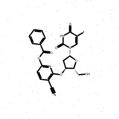 N#Cc1ccc(OC(=O)c2ccccc2)nc1O[C@H]1C[C@H](n2cc(F)c(=O)[nH]c2=O)O[C@@H]1CO